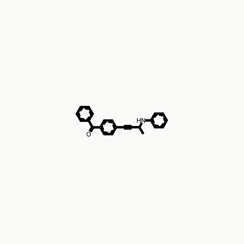 CC(C#Cc1ccc(C(=O)c2ccccc2)cc1)Nc1ccccc1